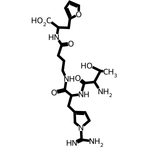 CC(O)C(N)C(=O)NC(CC1=CCN(C(=N)N)C1)C(=O)NCCCC(=O)NC(Cc1ccco1)C(=O)O